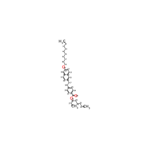 CCCCCCCCCCOc1ccc2cc(CCc3ccc(C(=O)OC(CC)CCCCC)cc3)ccc2c1